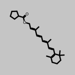 CC1=C(/C=C/C(C)=C/C=C/C(C)=C/COC(=O)C2CCCC2)C(C)(C)CCC1